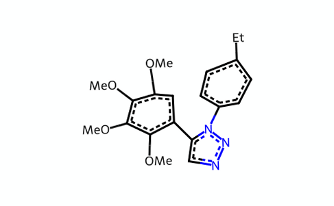 CCc1ccc(-n2nncc2-c2cc(OC)c(OC)c(OC)c2OC)cc1